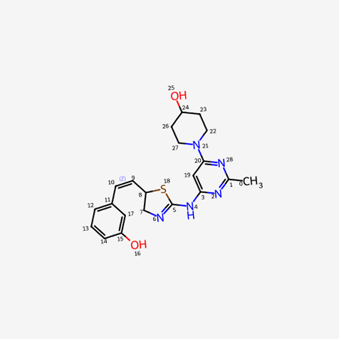 Cc1nc(NC2=NCC(/C=C\c3cccc(O)c3)S2)cc(N2CCC(O)CC2)n1